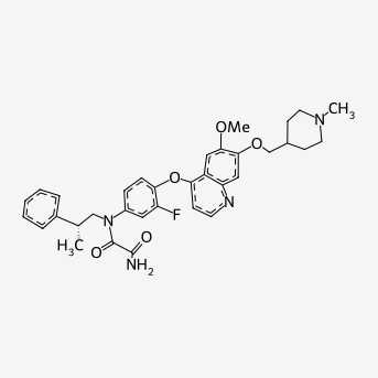 COc1cc2c(Oc3ccc(N(C[C@H](C)c4ccccc4)C(=O)C(N)=O)cc3F)ccnc2cc1OCC1CCN(C)CC1